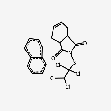 O=C1C2CC=CCC2C(=O)N1SC(Cl)(Cl)C(Cl)Cl.c1ccc2ccccc2c1